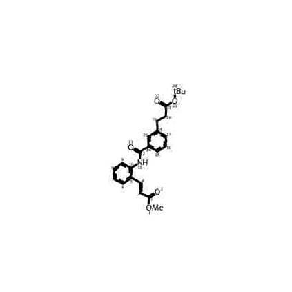 COC(=O)/C=C/c1ccccc1NC(=O)c1cccc(CCC(=O)OC(C)(C)C)c1